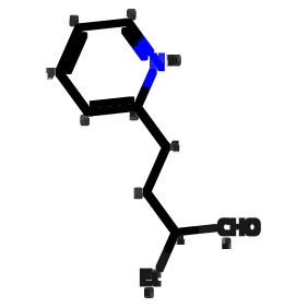 CCC(C=O)CCc1ccccn1